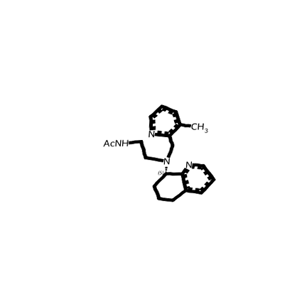 CC(=O)NCCN(Cc1ncccc1C)[C@H]1CCCc2cccnc21